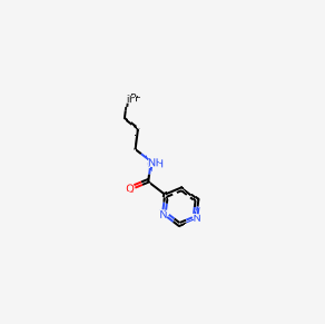 CC(C)CCCNC(=O)c1ccncn1